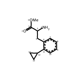 COC(=O)C(N)Cc1ccccc1C1CC1